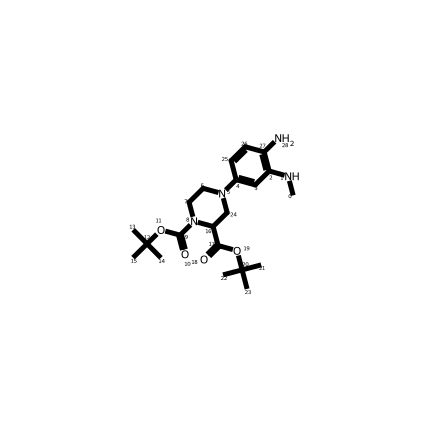 CNc1cc(N2CCN(C(=O)OC(C)(C)C)C(C(=O)OC(C)(C)C)C2)ccc1N